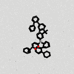 CC1(C)c2ccc(-c3ccccc3-c3ccccc3)cc2-c2ccc(N(c3ccc(C4CC5CCC4C5)cc3)c3ccccc3-c3ccccc3C3CCCCC3)cc21